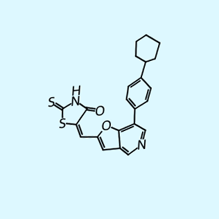 O=C1NC(=S)SC1=Cc1cc2cncc(-c3ccc(C4CCCCC4)cc3)c2o1